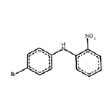 O=[N+]([O-])c1ccccc1Nc1ccc(Br)cc1